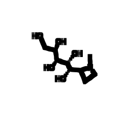 CN1CCC1[C@H](O)[C@@H](O)[C@H](O)[C@H](O)CO